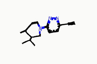 C#Cc1ccc(N2CCC(C)C(C(C)C)C2)nn1